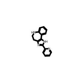 c1ccc(-c2nc3c([nH]2)-c2ccccc2NCC3)nc1